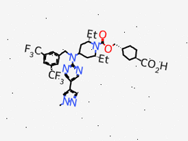 CC[C@@H]1CC(N(Cc2cc(C(F)(F)F)cc(C(F)(F)F)c2)c2ncc(-c3cnn(C)c3)cn2)C[C@H](CC)N1C(=O)OC[C@H]1CC[C@H](C(=O)O)CC1